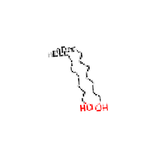 CCCCCCCCCCCCCCCCCO.CCCCCCCCCCCCCCCCO